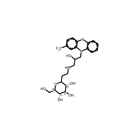 OC[C@H]1OC(CCNCC(O)CN2c3ccccc3Sc3ccc(C(F)(F)F)cc32)[C@H](O)[C@@H](O)[C@@H]1O